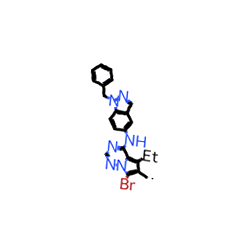 [CH2]c1c(CC)c2c(Nc3ccc4c(cnn4Cc4ccccc4)c3)ncnn2c1Br